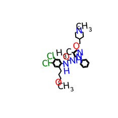 COCCCc1cc(Cl)c(Cl)cc1NC(=O)Nc1c(C)c(OCC2CCN(C)CC2)nn1-c1ccccc1